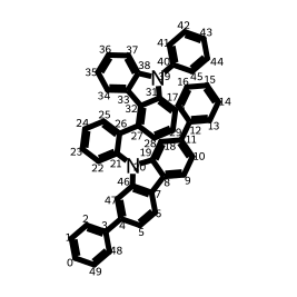 c1ccc(-c2ccc3c4ccc(-c5ccccc5)cc4n(-c4ccccc4-c4cccc5c4c4ccccc4n5-c4ccccc4)c3c2)cc1